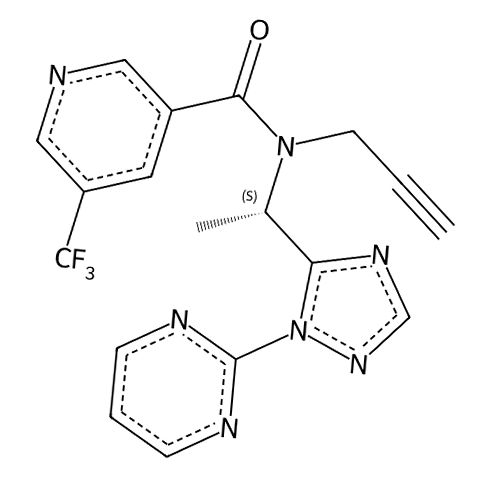 C#CCN(C(=O)c1cncc(C(F)(F)F)c1)[C@@H](C)c1ncnn1-c1ncccn1